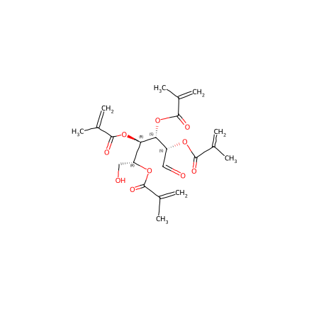 C=C(C)C(=O)O[C@@H]([C@H](OC(=O)C(=C)C)[C@@H](CO)OC(=O)C(=C)C)[C@@H](C=O)OC(=O)C(=C)C